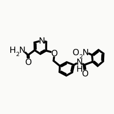 NC(=O)c1cncc(OCc2cccc(NC(=O)c3ccccc3[N+](=O)[O-])c2)c1